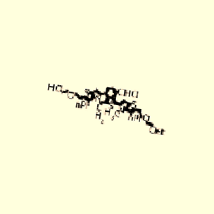 C=c1c2sc(-c3cc4sc(CCOCCOCC)c(CCC)c4n3C)c3c(C=O)ccc(c32)c2cc3sc(CCOCCO)c(CCC)c3n12